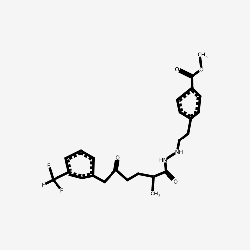 COC(=O)c1ccc(CCNNC(=O)C(C)CCC(=O)Cc2cccc(C(F)(F)F)c2)cc1